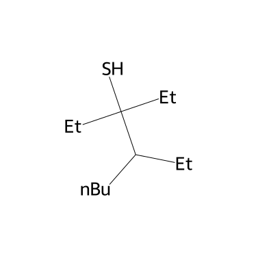 CCCCC(CC)C(S)(CC)CC